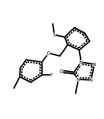 CSc1cccc(-n2nnn(C)c2=O)c1COc1ccc(C)cc1F